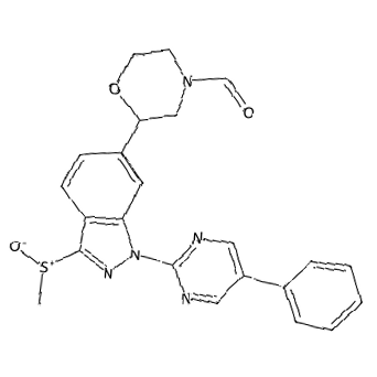 C[S+]([O-])c1nn(-c2ncc(-c3ccccc3)cn2)c2cc(C3CN(C=O)CCO3)ccc12